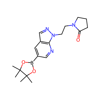 CC1(C)OB(c2cnc3c(cnn3CCN3CCCC3=O)c2)OC1(C)C